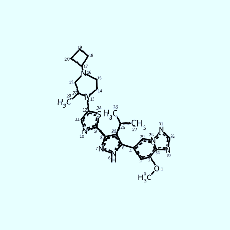 COc1cc(-c2[nH]nc(-c3ncc(N4CCN(C5CCC5)CC4C)s3)c2C(C)C)cn2ncnc12